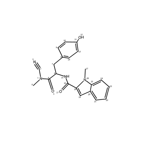 CN(C#N)C(=O)C(Cc1ccc(O)cc1)NC(=O)c1cc2ccccc2n1C